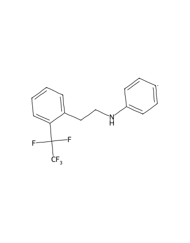 FC(F)(F)C(F)(F)c1ccccc1CCNc1cc[c]cc1